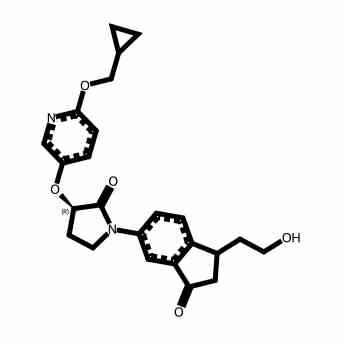 O=C1CC(CCO)c2ccc(N3CC[C@@H](Oc4ccc(OCC5CC5)nc4)C3=O)cc21